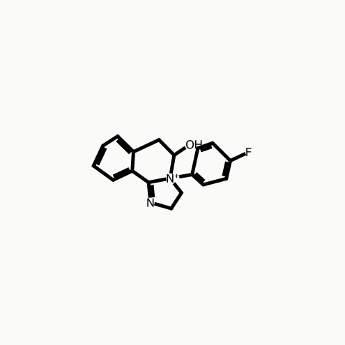 OC1Cc2ccccc2C2=NCC[N+]21c1ccc(F)cc1